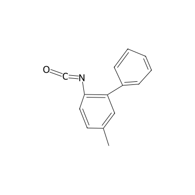 Cc1ccc(N=C=O)c(-c2ccccc2)c1